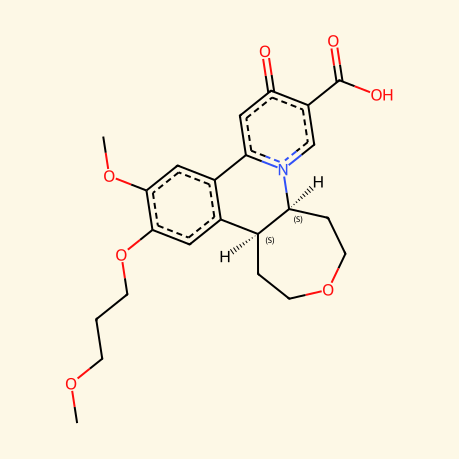 COCCCOc1cc2c(cc1OC)-c1cc(=O)c(C(=O)O)cn1[C@H]1CCOCC[C@@H]21